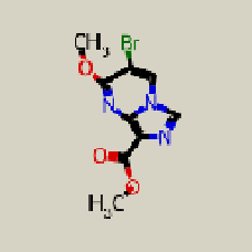 COC(=O)c1ncn2cc(Br)c(OC)nc12